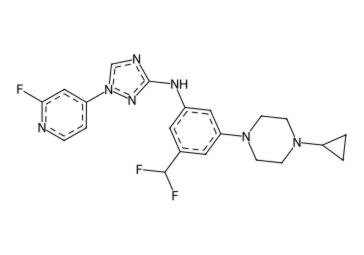 Fc1cc(-n2cnc(Nc3cc(C(F)F)cc(N4CCN(C5CC5)CC4)c3)n2)ccn1